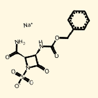 NC(=O)[C@H]1[C@@H](NC(=O)OCc2ccccc2)C(=O)N1S(=O)(=O)[O-].[Na+]